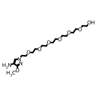 COc1nn(CCOCCOCCOCCOCCOCCOCCO)cc1N